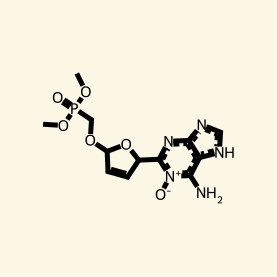 COP(=O)(COC1C=CC(c2nc3nc[nH]c3c(N)[n+]2[O-])O1)OC